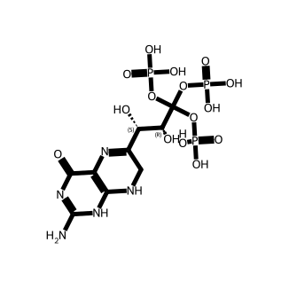 Nc1nc(=O)c2c([nH]1)NCC([C@H](O)[C@@H](O)C(OP(=O)(O)O)(OP(=O)(O)O)OP(=O)(O)O)=N2